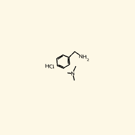 CN(C)C.Cl.NCc1ccccc1